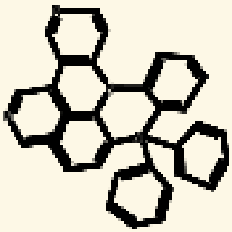 c1ccc([Si]2(c3ccccc3)c3ccccc3N(c3ccncc3-c3cccnc3)c3ccccc32)cc1